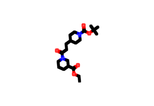 CCOC(=O)C1CCCN(C(=O)CCC2CCN(C(=O)OC(C)(C)C)CC2)C1